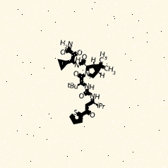 CC(C)[C@@H](CC(=O)c1cccs1)NC(=O)N[C@H](C(=O)N1C[C@H]2[C@@H]([C@H]1C(=O)NC(C(=O)C(N)=O)C1CC1)C2(C)C)C(C)(C)C